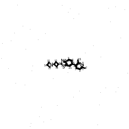 Cc1ccc(-c2ccc3nc([C@H]4C[C@H](N5CCC5)C4)sc3c2)c(C)n1